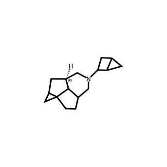 C1CC23CC2C[C@H]2CN(C4CC5CC54)CC1C23